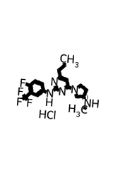 CCCc1cc(N2CC[C@H](NC)C2)nc(Nc2ccc(F)c(C(F)(F)F)c2)n1.Cl